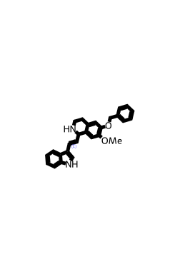 COc1cc2c(cc1OCc1ccccc1)CCNC2/C=C/c1c[nH]c2ccccc12